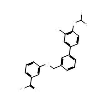 O=C(O)c1cccc(OCc2cccc(-c3ccc(OC(F)F)c(Cl)c3)c2)c1